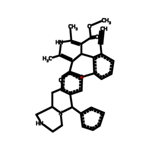 C#Cc1cccc(F)c1C1C(C(=O)OC)=C(C)NC(C)=C1C(=O)OCCC1CNCCN1C(c1ccccc1)c1ccccc1